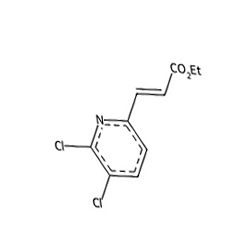 CCOC(=O)/C=C/c1ccc(Cl)c(Cl)n1